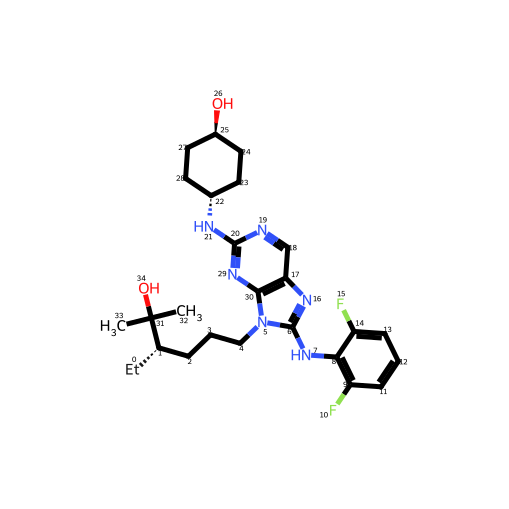 CC[C@@H](CCCn1c(Nc2c(F)cccc2F)nc2cnc(N[C@H]3CC[C@H](O)CC3)nc21)C(C)(C)O